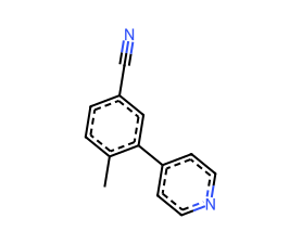 Cc1ccc(C#N)cc1-c1ccncc1